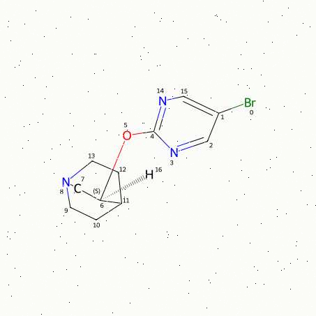 Brc1cnc(O[C@@H]2CN3CCC2CC3)nc1